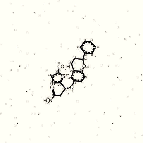 NC(=O)[CH]C(Oc1ccc2c(c1)CCC(c1ccccc1)O2)c1ncc(C(=O)O)s1